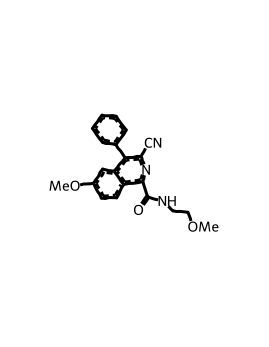 COCCNC(=O)c1nc(C#N)c(-c2ccccc2)c2cc(OC)ccc12